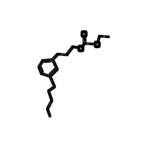 CCCCCc1cccc(CCCOC(=O)OCC)c1